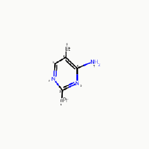 CCCc1ncc(CC)c(N)n1